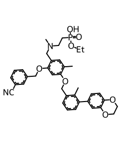 CCOP(=O)(O)CCN(C)Cc1cc(C)c(OCc2cccc(-c3ccc4c(c3)OCCO4)c2C)cc1OCc1cccc(C#N)c1